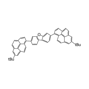 CC(C)(C)c1cc2ccc3ccc(-c4ccc5c(c4)oc4cc(-c6ccc7ccc8cc(C(C)(C)C)cc9ccc6c7c89)ccc45)c4ccc(c1)c2c34